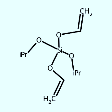 C=CO[Si](OC=C)(OC(C)C)OC(C)C